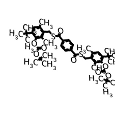 Cc1cc(C(C)(C)C)c(OC(=O)OC(C)(C)C)c(C)c1CSC(=O)c1ccc(C(=O)SCc2c(C)cc(C(C)(C)C)c(OC(=O)OC(C)(C)C)c2C)cc1